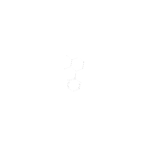 ClC1OCCN(c2ncccn2)C1Cl